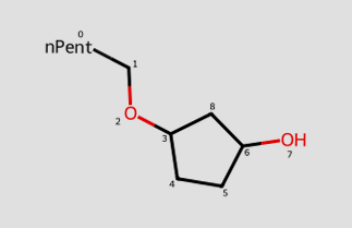 CCCCCCOC1CCC(O)C1